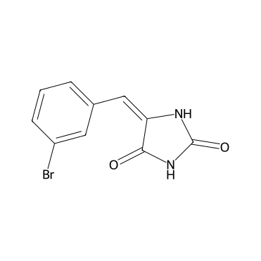 O=C1NC(=O)/C(=C\c2cccc(Br)c2)N1